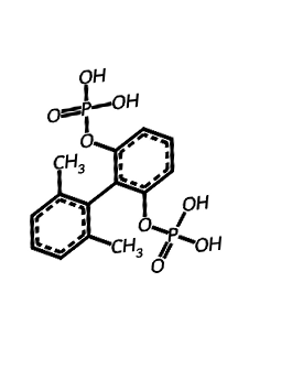 Cc1cccc(C)c1-c1c(OP(=O)(O)O)cccc1OP(=O)(O)O